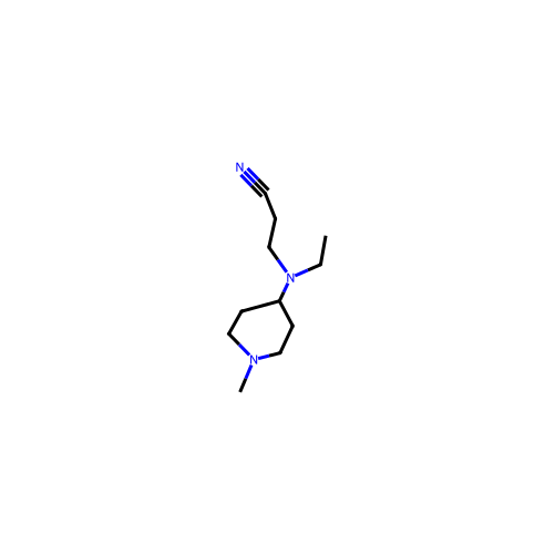 CCN(CCC#N)C1CCN(C)CC1